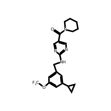 O=C(c1cnc(NCc2cc(OC(F)(F)F)cc(C3CC3)c2)nc1)N1CCCCC1